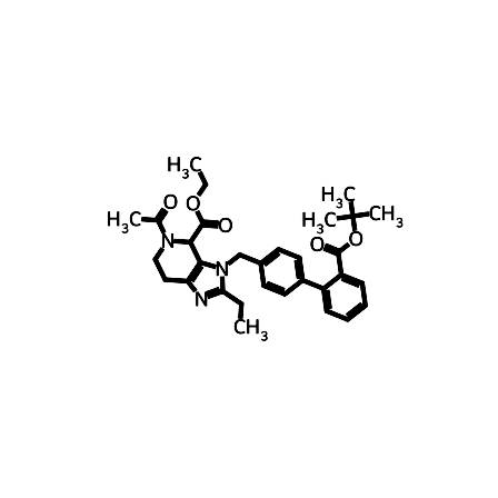 CCOC(=O)C1c2c(nc(CC)n2Cc2ccc(-c3ccccc3C(=O)OC(C)(C)C)cc2)CCN1C(C)=O